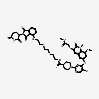 CNC(=O)COc1cc2cc(Nc3nc(N4CCC(C(=O)NCCOCCOCCNc5cccc6c5C(=O)N(C5CCC(=O)NC5=O)C6=O)CC4)ncc3Cl)cc(OC)c2n(C)c1=O